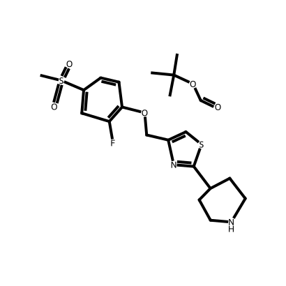 CC(C)(C)OC=O.CS(=O)(=O)c1ccc(OCc2csc(C3CCNCC3)n2)c(F)c1